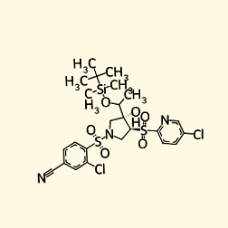 CC(O[Si](C)(C)C(C)(C)C)[C@]1(O)CN(S(=O)(=O)c2ccc(C#N)cc2Cl)C[C@@H]1S(=O)(=O)c1ccc(Cl)cn1